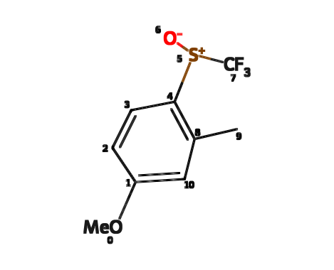 COc1ccc([S+]([O-])C(F)(F)F)c(C)c1